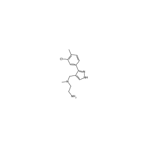 Cc1ccc(-c2n[nH]cc2CN(C)CCN)cc1Cl